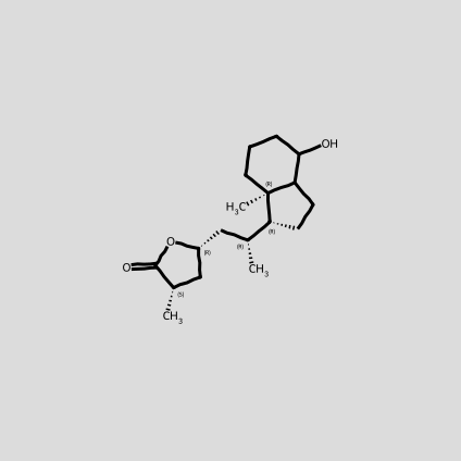 C[C@H](C[C@@H]1C[C@H](C)C(=O)O1)[C@H]1CCC2C(O)CCC[C@@]21C